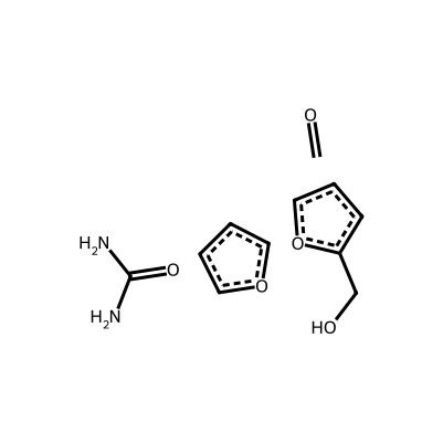 C=O.NC(N)=O.OCc1ccco1.c1ccoc1